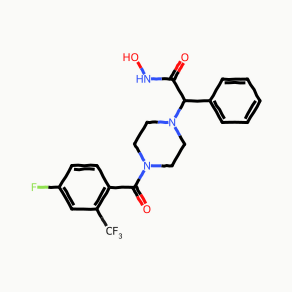 O=C(NO)C(c1ccccc1)N1CCN(C(=O)c2ccc(F)cc2C(F)(F)F)CC1